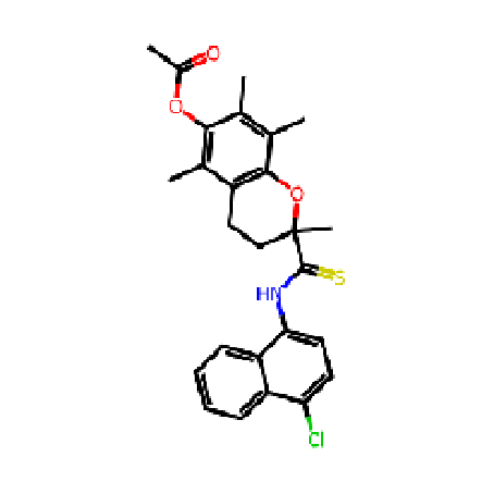 CC(=O)Oc1c(C)c(C)c2c(c1C)CCC(C)(C(=S)Nc1ccc(Cl)c3ccccc13)O2